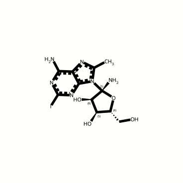 Cc1nc2c(N)nc(I)nc2n1[C@]1(N)O[C@H](CO)[C@@H](O)[C@H]1O